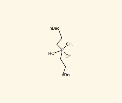 CCCCCCCCCCCCP(C)(O)(O)CCCCCCCCCCCC